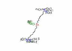 CCCCCCCCN(CCCCCCCC)C(CCCCCCCCCOCCCCCCCCCC(N(CCCCCCCC)CCCCCCCC)N(CCCCCCCC)CCCCCCCC)N(CCCCCCCC)CCCCCCCC.[Cl-].[Cl-].[Cl-].[Cl-].[Ti+4]